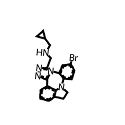 Brc1ccc2c(c1)-n1c(CNCC3CC3)nnc1-c1cccc3c1N2CC3